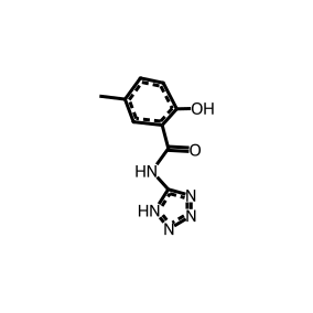 Cc1ccc(O)c(C(=O)Nc2nnn[nH]2)c1